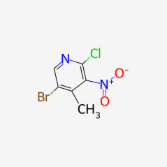 Cc1c(Br)cnc(Cl)c1[N+](=O)[O-]